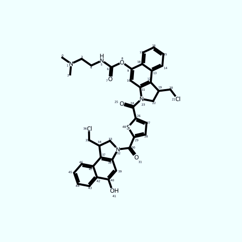 CN(C)CCNC(=O)Oc1cc2c(c3ccccc13)C(CCl)CN2C(=O)c1ccc(C(=O)N2CC(CCl)c3c2cc(O)c2ccccc32)s1